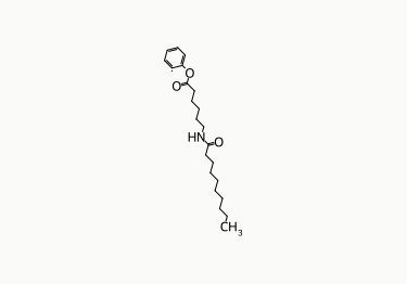 CCCCCCCCCC(=O)NCCCCCC(=O)Oc1[c]cccc1